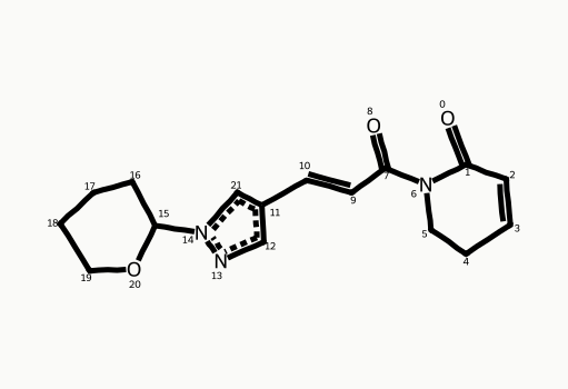 O=C1C=CCCN1C(=O)C=Cc1cnn(C2CCCCO2)c1